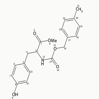 COC(=O)C(Cc1ccc(O)cc1)NC(=O)OCc1ccc(C)cc1